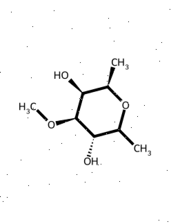 CO[C@H]1[C@@H](O)[C@@H](C)OC(C)[C@@H]1O